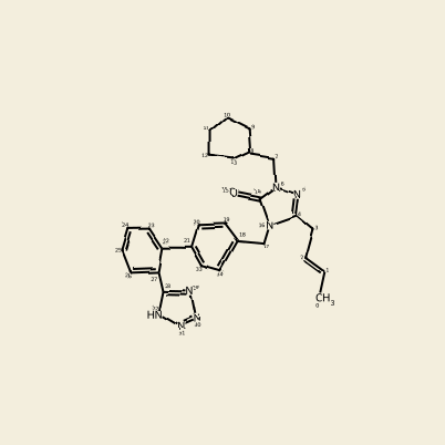 C/C=C/Cc1nn(CC2CCCCC2)c(=O)n1Cc1ccc(-c2ccccc2-c2nnn[nH]2)cc1